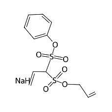 C=CCOS(=O)(=O)C(C=C)S(=O)(=O)Oc1ccccc1.[NaH]